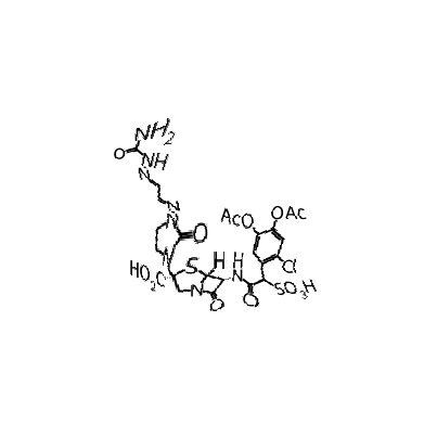 CC(=O)Oc1cc(Cl)c(C(C(=O)N[C@@H]2C(=O)N3C[C@@](C(=O)O)(N4CCN(/N=C/C=N/NC(N)=O)C4=O)S[C@H]23)S(=O)(=O)O)cc1OC(C)=O